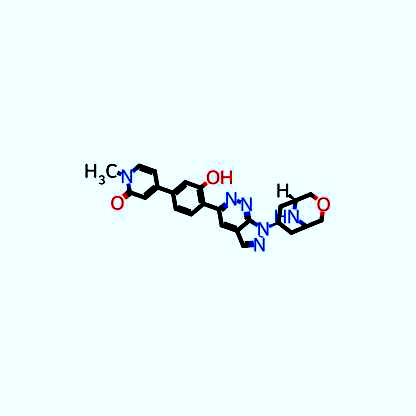 Cn1ccc(-c2ccc(-c3cc4cnn([C@@H]5CC6COC[C@@H](C5)N6)c4nn3)c(O)c2)cc1=O